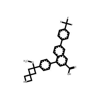 COC1(c2ccc(-c3cc(C(=O)O)cc4cc(-c5ccc(C(F)(F)F)cc5)ccc34)cc2)CC2(CNC2)C1